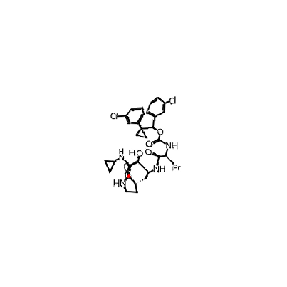 CC(C)C[C@H](NC(=O)OC(c1cccc(Cl)c1)C1(c2cccc(Cl)c2)CC1)C(=O)N[C@@H](C[C@@H]1CCNC1=O)C(O)C(=O)NC1CC1